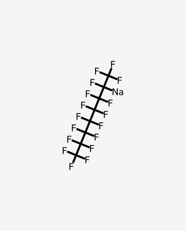 FC(F)(F)C(F)(F)C(F)(F)C(F)(F)C(F)(F)C(F)(F)[C](F)([Na])C(F)(F)F